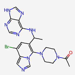 CC(=O)N1CCN(c2c(C(C)Nc3ncnc4[nH]cnc34)cc(Br)c3cncn23)CC1